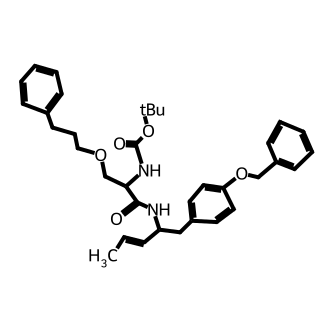 C/C=C/C(Cc1ccc(OCc2ccccc2)cc1)NC(=O)C(COCCCc1ccccc1)NC(=O)OC(C)(C)C